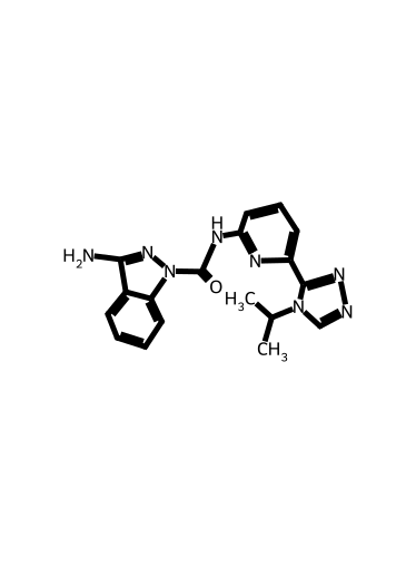 CC(C)n1cnnc1-c1cccc(NC(=O)n2nc(N)c3ccccc32)n1